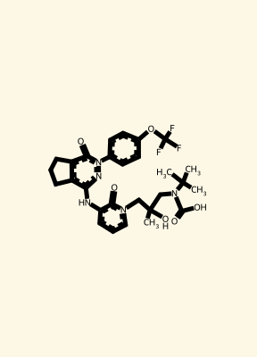 CC(O)(CN(C(=O)O)C(C)(C)C)Cn1cccc(Nc2nn(-c3ccc(OC(F)(F)F)cc3)c(=O)c3c2CCC3)c1=O